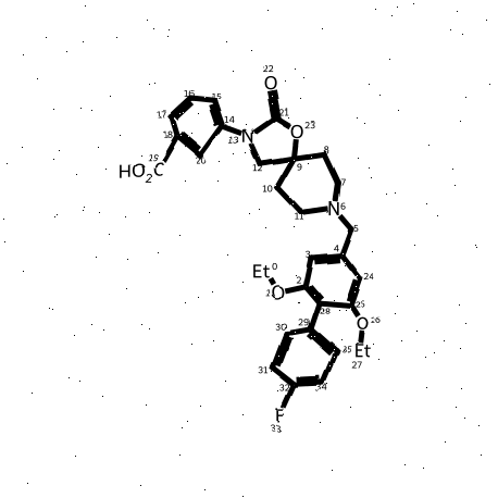 CCOc1cc(CN2CCC3(CC2)CN(c2cccc(C(=O)O)c2)C(=O)O3)cc(OCC)c1-c1ccc(F)cc1